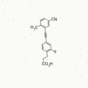 Cc1ccc(C#N)cc1C#Cc1ccc(CCC(=O)O)c(F)c1